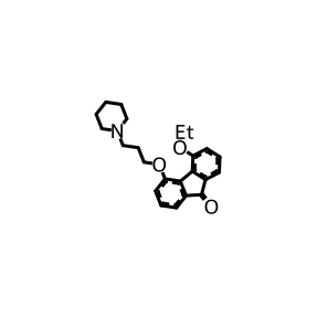 CCOc1cccc2c1-c1c(OCCCN3CCCCC3)cccc1C2=O